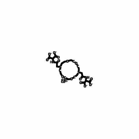 O=C(CN1CCOCCOCCN(CC(=O)NC(C(=O)[O-])C(=O)[O-])CCOCCOCC1)NC(C(=O)[O-])C(=O)[O-].[Ca+2].[Ca+2]